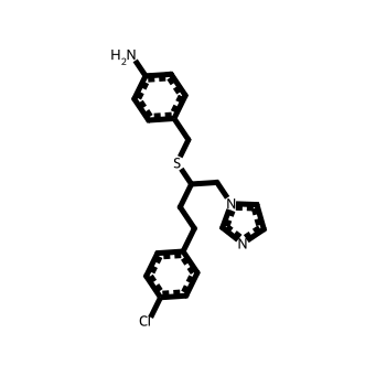 Nc1ccc(CSC(CCc2ccc(Cl)cc2)Cn2ccnc2)cc1